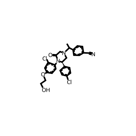 CC(c1ccc(C#N)cc1)N1CC(=O)N(c2ccc(OCCO)cc2Cl)[C@H](c2ccc(Cl)cc2)C1